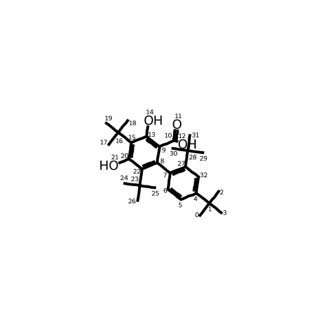 CC(C)(C)c1ccc(-c2c(C(=O)O)c(O)c(C(C)(C)C)c(O)c2C(C)(C)C)c(C(C)(C)C)c1